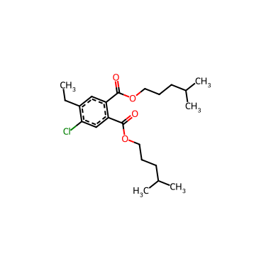 CCc1cc(C(=O)OCCCC(C)C)c(C(=O)OCCCC(C)C)cc1Cl